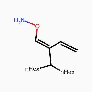 C=C/C(=C\ON)C(CCCCCC)CCCCCC